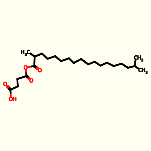 CC(C)CCCCCCCCCCCCCCC(C)C(=O)OC(=O)CCC(=O)O